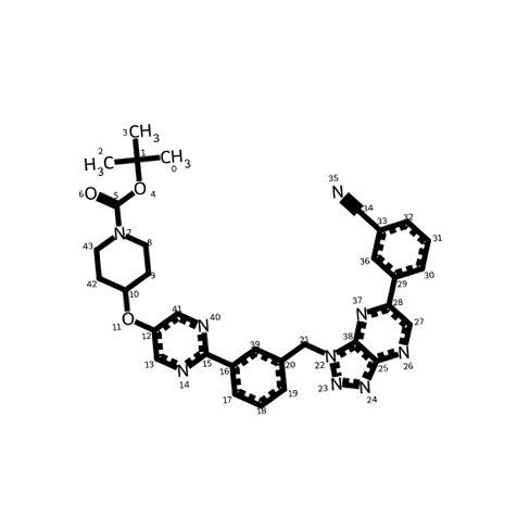 CC(C)(C)OC(=O)N1CCC(Oc2cnc(-c3cccc(Cn4nnc5ncc(-c6cccc(C#N)c6)nc54)c3)nc2)CC1